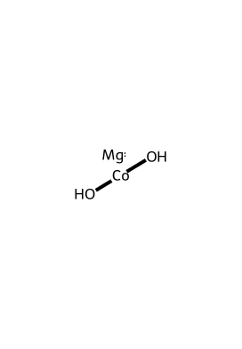 [Mg].[OH][Co][OH]